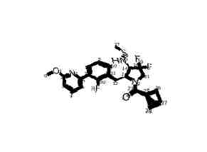 COc1cccc(-c2cccc(C[C@H]3[C@@H](NSC)C(F)(F)CN3C(=O)C34CC(C3)C4)c2F)n1